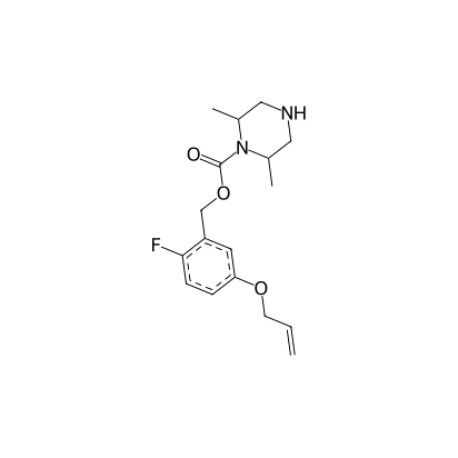 C=CCOc1ccc(F)c(COC(=O)N2C(C)CNCC2C)c1